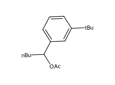 CCCCC(OC(C)=O)c1cccc(C(C)(C)C)c1